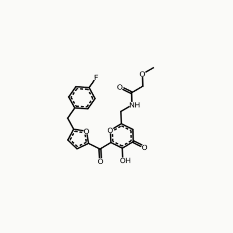 COCC(=O)NCc1cc(=O)c(O)c(C(=O)c2ccc(Cc3ccc(F)cc3)o2)o1